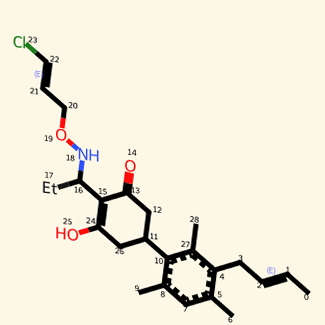 C/C=C/Cc1c(C)cc(C)c(C2CC(=O)C(C(CC)NOC/C=C/Cl)=C(O)C2)c1C